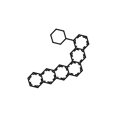 c1ccc2cc3cc4c(ccc5cc6cccc(C7CCCCC7)c6cc54)cc3cc2c1